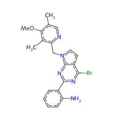 COc1c(C)cnc(Cn2ccc3c(Br)nc(-c4ccccc4N)nc32)c1C